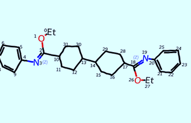 CCO/C(=N\c1ccccc1)C1CCC(C2CCC(/C(=N/c3ccccc3)OCC)CC2)CC1